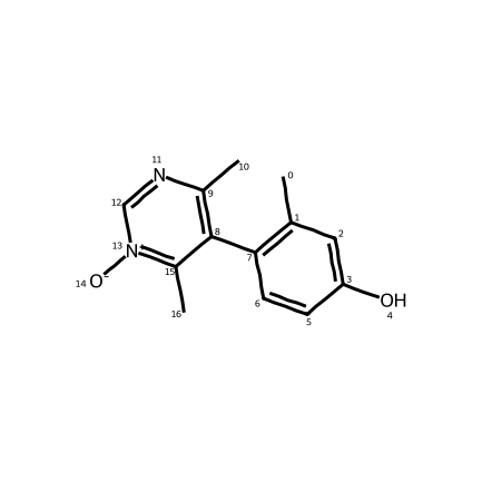 Cc1cc(O)ccc1-c1c(C)nc[n+]([O-])c1C